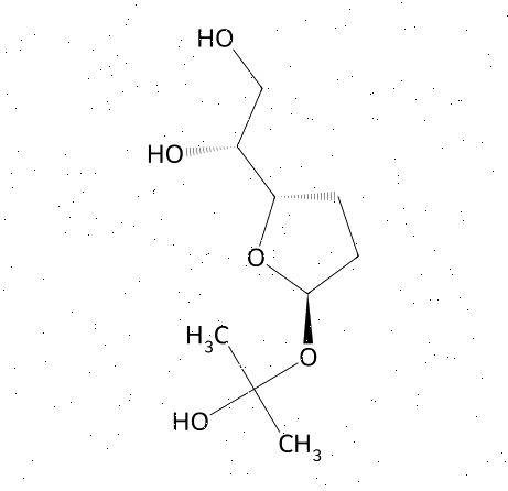 CC(C)(O)O[C@@H]1CC[C@@H]([C@H](O)CO)O1